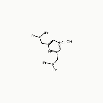 CC(C)P(Cc1cccc(CP(C(C)C)C(C)C)n1)C(C)C.Cl.Cl